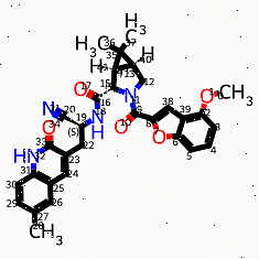 COc1cccc2oc(C(=O)N3C[C@H]4[C@@H]([C@H]3C(=O)N[C@H](C#N)Cc3cc5cc(C)ccc5[nH]c3=O)C4(C)C)cc12